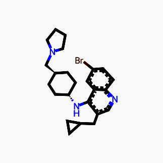 Brc1ccc2ncc(CC3CC3)c(N[C@H]3CC[C@H](CN4CCCC4)CC3)c2c1